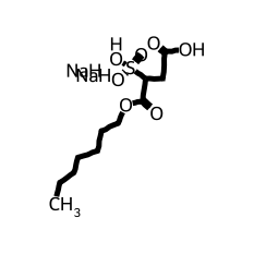 CCCCCCCOC(=O)C(CC(=O)O)S(=O)(=O)O.[NaH].[NaH]